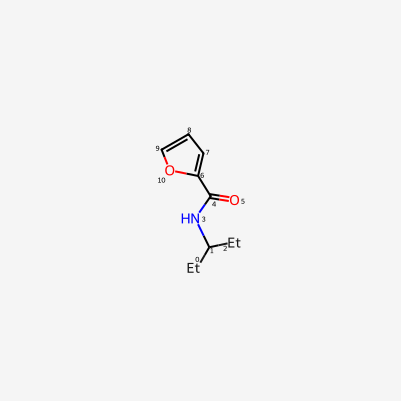 CCC(CC)NC(=O)c1ccco1